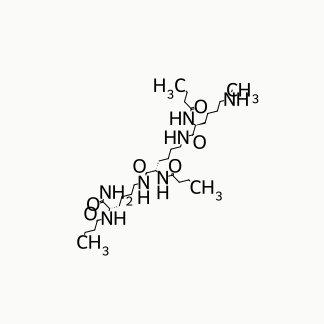 CCCC(=O)N[C@@H](CCCCNC(=O)[C@H](CCCCNC(=O)[C@H](CCCCNC)NC(=O)CCC)NC(=O)CCC)C(N)=O